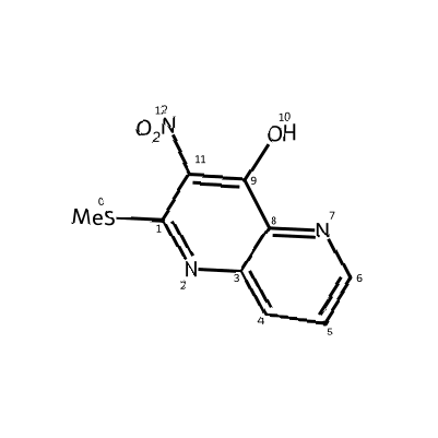 CSc1nc2cccnc2c(O)c1[N+](=O)[O-]